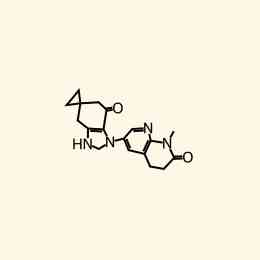 CN1C(=O)CCc2cc(N3CNC4=C3C(=O)CC3(CC3)C4)cnc21